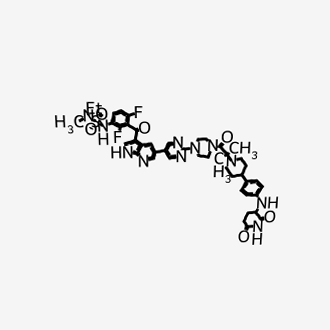 CCN(C)S(=O)(=O)Nc1ccc(F)c(C(=O)c2c[nH]c3ncc(-c4cnc(N5CCN(C(=O)C(C)(C)N6CCC(c7ccc(NC8CCC(=O)NC8=O)cc7)CC6)CC5)nc4)cc23)c1F